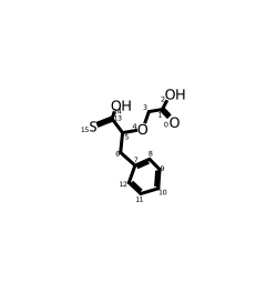 O=C(O)COC(Cc1ccccc1)C(O)=S